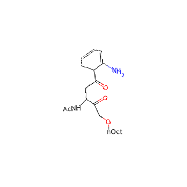 CCCCCCCCOCC(=O)C(CC(=O)C1CC=CC=C1N)NC(C)=O